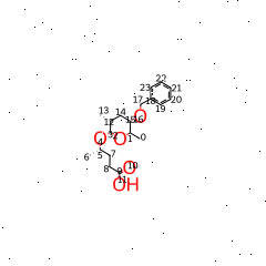 CC1O[C@H](O[C@@H](C)CCC(=O)O)[C@H](C)C[C@@H]1OCc1ccccc1